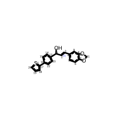 OC(/C=C/c1ccc2c(c1)OCO2)c1ccc(-c2cccs2)cc1